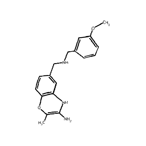 COc1cccc(CNCc2ccc3c(c2)NC(N)=C(C)O3)c1